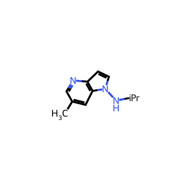 Cc1cnc2ccn(NC(C)C)c2c1